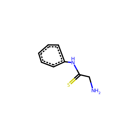 NCC(=S)Nc1ccccc1